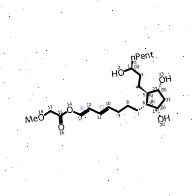 CCCCC[C@H](O)CC[C@@H]1[C@@H](CCC/C=C/C=C/OC(=O)COC)[C@@H](O)C[C@H]1O